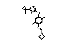 Cc1cc(Oc2nc(C3(C)CC3)ns2)c(C)cc1/N=C/N1CCC1